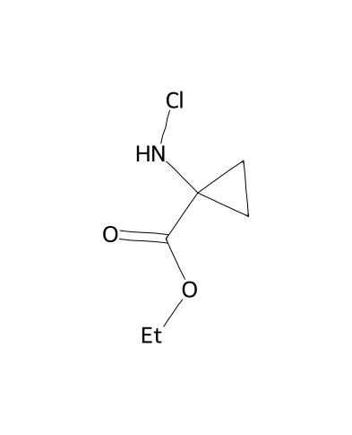 CCOC(=O)C1(NCl)CC1